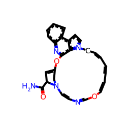 NC(=O)C1C=C2CN1C=CN=COC=CC=CC=CCn1ccc3c4ccccc4nc(c31)O2